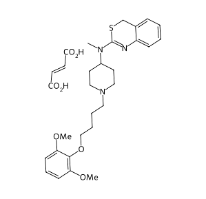 COc1cccc(OC)c1OCCCCN1CCC(N(C)C2=Nc3ccccc3CS2)CC1.O=C(O)/C=C/C(=O)O